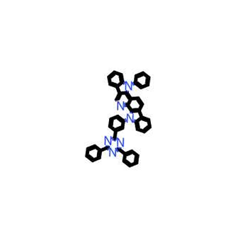 c1ccc(-c2nc(-c3ccccc3)nc(-c3cccc(-n4c5ccccc5c5ccc6c(ncc7c8ccccc8n(-c8ccccc8)c76)c54)c3)n2)cc1